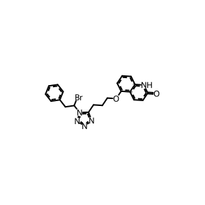 O=c1ccc2c(OCCCc3nnnn3C(Br)Cc3ccccc3)cccc2[nH]1